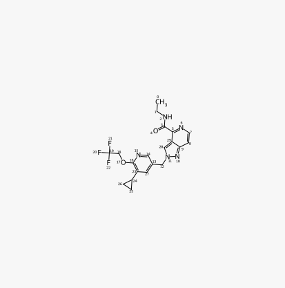 CCNC(=O)c1nccc2nn(Cc3cnc(OCC(F)(F)F)c(C4CC4)c3)cc12